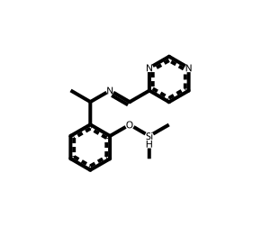 CC(N=Cc1ccncn1)c1ccccc1O[SiH](C)C